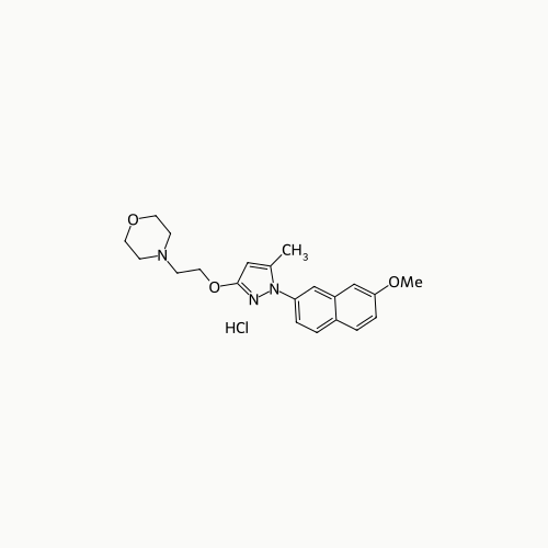 COc1ccc2ccc(-n3nc(OCCN4CCOCC4)cc3C)cc2c1.Cl